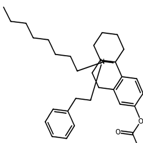 CCCCCCCCC1N(CCc2ccccc2)CCC23CCCCC12CCc1cc(OC(C)=O)ccc13